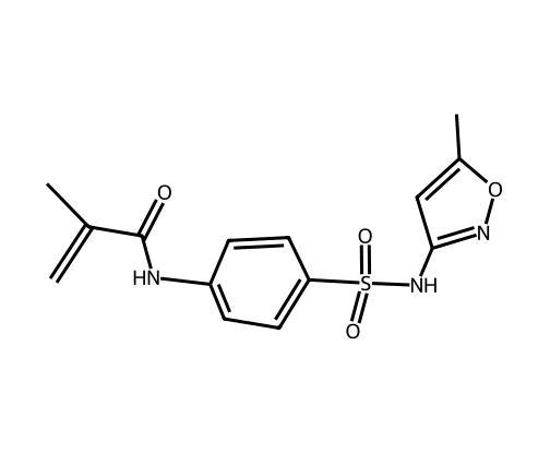 C=C(C)C(=O)Nc1ccc(S(=O)(=O)Nc2cc(C)on2)cc1